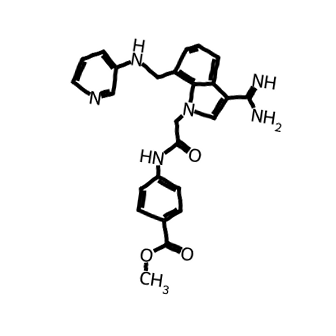 COC(=O)c1ccc(NC(=O)Cn2cc(C(=N)N)c3cccc(CNc4cccnc4)c32)cc1